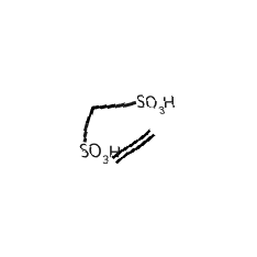 C=C.O=S(=O)(O)CS(=O)(=O)O